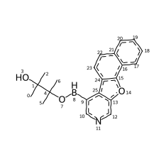 CC(C)(O)C(C)(C)OBc1cncc2oc3c4ccccc4ccc3c12